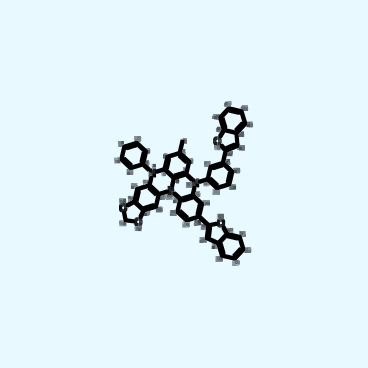 Cc1cc2c3c(c1)N(c1ccccc1)c1cc4c(cc1B3c1ccc(-c3cc5ccccc5o3)cc1N2c1cccc(-c2cc3ccccc3o2)c1)OCO4